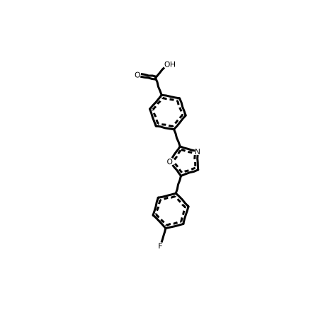 O=C(O)c1ccc(-c2ncc(-c3ccc(F)cc3)o2)cc1